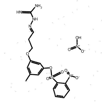 Cc1cc(OCCC=NNC(=N)N)cc(OS(=O)(=O)c2ccccc2[N+](=O)[O-])c1.O=[N+]([O-])O